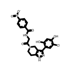 O=C(NCC(=O)N1CCc2[nH]nc(-c3cc(Cl)c(O)cc3O)c2C1)c1ccc([N+](=O)[O-])cc1